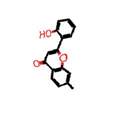 Cc1ccc2c(=O)cc(-c3ccccc3O)oc2c1